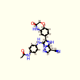 CC(=O)Nc1ccc(Nc2c(-c3ccc4c(c3)NC(=O)CO4)[nH]c3c(C#N)cnn23)cc1